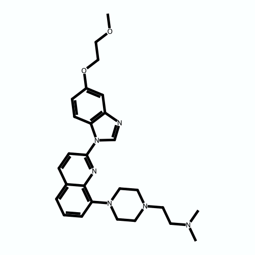 COCCOc1ccc2c(c1)ncn2-c1ccc2cccc(N3CCN(CCN(C)C)CC3)c2n1